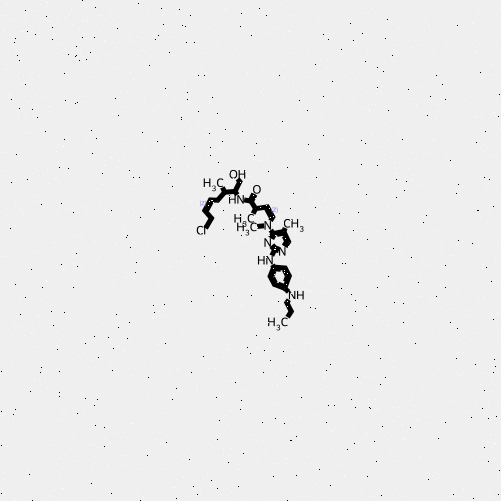 CCCNc1ccc(Nc2ncc(C)c(N(C)/C=C\C(C)C(=O)NC(CO)C(C)C/C=C\CCl)n2)cc1